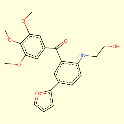 COc1cc(C(=O)c2cc(-c3ccco3)ccc2NCCO)cc(OC)c1OC